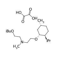 CC(C)COCCN(C)CCO[C@@H]1C[C@H](C)CC[C@H]1C(C)C.O=C(O)C(=O)O